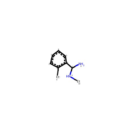 C[CH]c1ccccc1C(N)NCC